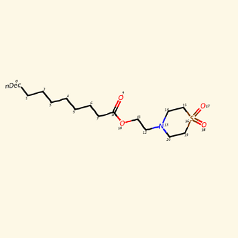 CCCCCCCCCCCCCCCCCC(=O)OCCN1CCS(=O)(=O)CC1